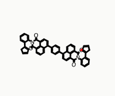 O=C1c2cccc3c(-c4ccc(-c5ccc6c7c(cccc57)C(=O)N(c5ccccc5C5=CC=CC5)C6=O)cc4)ccc(c23)C(=O)N1c1ccccc1C1=CC=CC1